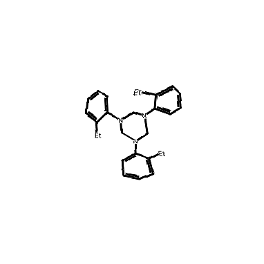 CCc1ccccc1N1CN(c2ccccc2CC)CN(c2ccccc2CC)C1